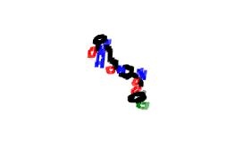 O=C(CCCc1nc2ccccc2c(=O)[nH]1)N1CCC(c2nnc(COc3ccc(Cl)cc3)o2)CC1